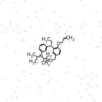 C=CCOc1ccc(CO)cc1[C@H](CC)c1cccc(N(C(C)C)C(C)C)c1